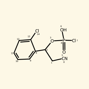 N#CCC(OP(=O)(O)Cl)c1ccccc1Cl